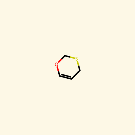 C1=COCSC1